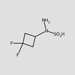 NN(C1CC(F)(F)C1)S(=O)(=O)O